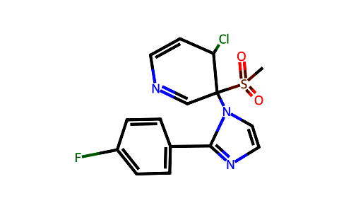 CS(=O)(=O)C1(n2ccnc2-c2ccc(F)cc2)C=NC=CC1Cl